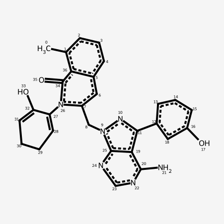 Cc1cccc2cc(Cn3nc(-c4cccc(O)c4)c4c(N)ncnc43)n(C3=CCCC=C3O)c(=O)c12